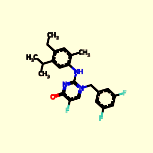 CCc1cc(C)c(Nc2nc(=O)c(F)cn2Cc2cc(F)cc(F)c2)cc1C(C)C